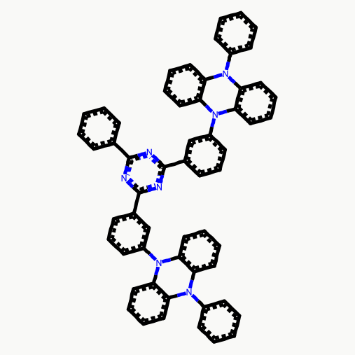 c1ccc(-c2nc(-c3cccc(N4c5ccccc5N(c5ccccc5)c5ccccc54)c3)nc(-c3cccc(N4c5ccccc5N(c5ccccc5)c5ccccc54)c3)n2)cc1